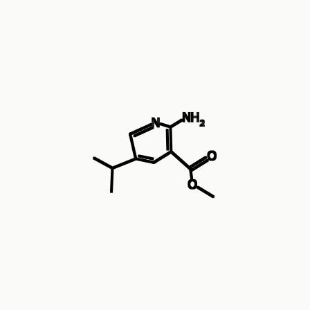 COC(=O)c1cc(C(C)C)cnc1N